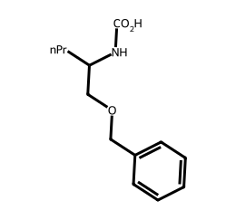 CCCC(COCc1ccccc1)NC(=O)O